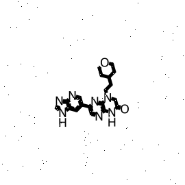 O=C1CN(CCC2CCOCC2)c2nc(-c3cnc4nc[nH]c4c3)cnc2N1